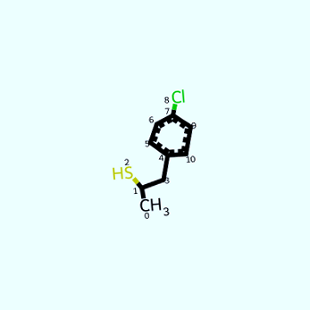 CC(S)Cc1ccc(Cl)cc1